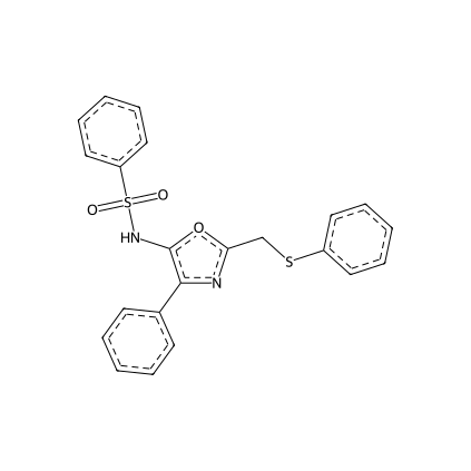 O=S(=O)(Nc1oc(CSc2ccccc2)nc1-c1ccccc1)c1ccccc1